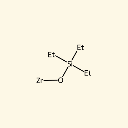 CC[Si](CC)(CC)[O][Zr]